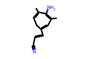 CC1=CCC(/C=C/C#N)=CC(C)=C1N